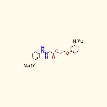 CNc1cccc(OCCOC(=O)CNNc2cccc(COC)c2)c1